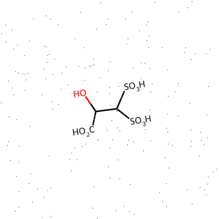 O=C(O)C(O)[C](S(=O)(=O)O)S(=O)(=O)O